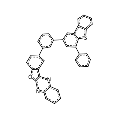 c1ccc(-c2cc(-c3cccc(-c4ccc5oc6nc7ccccc7nc6c5c4)c3)cc3c2sc2ccccc23)cc1